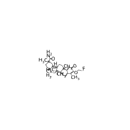 CC1=C(OCCF)C(=O)C=C2C1=CC=C1[C@@]2(C)CC[C@@]2(C)[C@@H]3C[C@](C)(C(N)=O)CC[C@]3(C)CC[C@]12C